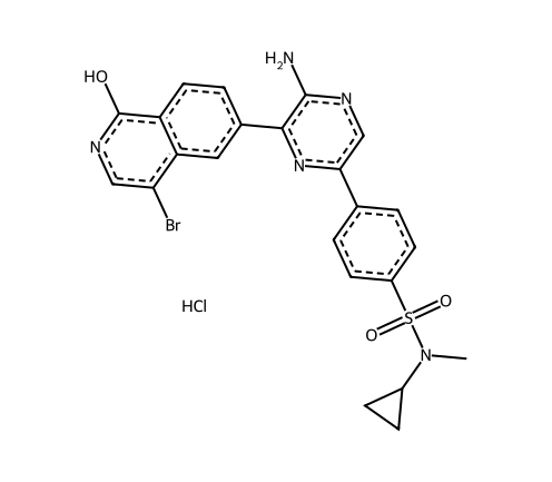 CN(C1CC1)S(=O)(=O)c1ccc(-c2cnc(N)c(-c3ccc4c(O)ncc(Br)c4c3)n2)cc1.Cl